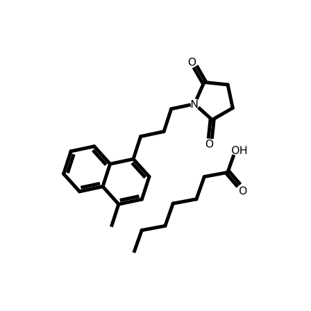 CCCCCCC(=O)O.Cc1ccc(CCCN2C(=O)CCC2=O)c2ccccc12